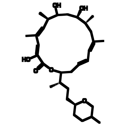 CC1=C\[C@@H](C)C(O)C[C@@H](O)[C@H](C)C/C(C)=C/C=C/CC([C@@H](C)CC[C@@H]2CCC(C)CO2)OC(=O)\C(O)=C\1